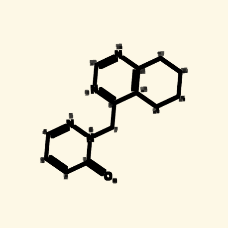 O=c1cccnn1Cc1ncnc2c1CCCC2